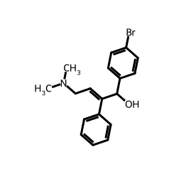 CN(C)C/C=C(\c1ccccc1)C(O)c1ccc(Br)cc1